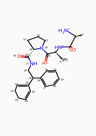 CC(C)[C@H](NC(=O)[C@H](C)N)C(=O)N1CCC[C@H]1C(=O)NCC(C1=CCCC=C1)c1ccccc1